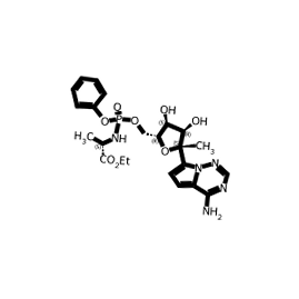 CCOC(=O)[C@H](C)NP(=O)(OC[C@H]1O[C@@](C)(c2ccc3c(N)ncnn23)[C@H](O)[C@@H]1O)Oc1ccccc1